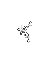 O=C(COc1ccc2c(c1)CCC2)Nc1nnc(-c2ncccc2-c2cncc(N3CCCC(C(=O)Nc4nnc(-c5ccccn5)[nH]4)C3)n2)[nH]1